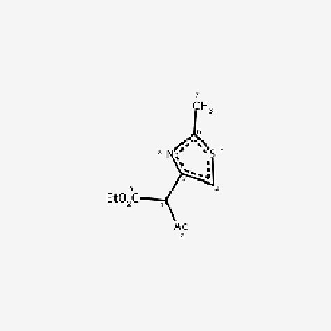 CCOC(=O)C(C(C)=O)c1csc(C)n1